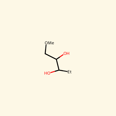 CCC(O)C(O)COC